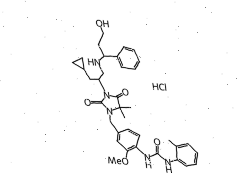 COc1cc(CN2C(=O)N(C(CNC(CCO)c3ccccc3)CC3CC3)C(=O)C2(C)C)ccc1NC(=O)Nc1ccccc1C.Cl